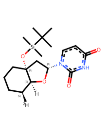 [2H][C@H]1CCC[C@@]2(O[Si](C)(C)C(C)(C)C)C[C@H](n3ccc(=O)[nH]c3=O)O[C@@H]12